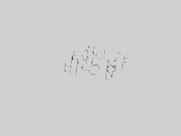 [2H]C([2H])([2H])N(Cc1ccc(-c2nc(C(F)(F)F)cn2C(C)C)cc1)c1nc(Cl)ncc1F